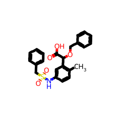 Cc1ccc(NS(=O)(=O)Cc2ccccc2)cc1C(OCc1ccccc1)C(=O)O